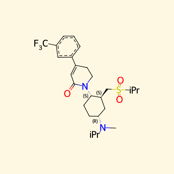 CC(C)N(C)[C@@H]1CC[C@H](N2CCC(c3cccc(C(F)(F)F)c3)=CC2=O)[C@@H](CS(=O)(=O)C(C)C)C1